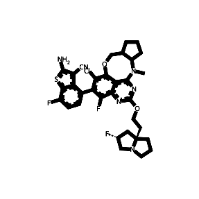 CN1c2nc(OCC[C@@]34CCCN3C[C@H](F)C4)nc3c(F)c(-c4ccc(F)c5sc(N)c(C#N)c45)c(Cl)c(c23)OCC2CCCC21